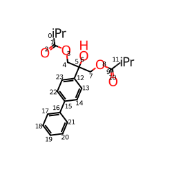 CC(C)C(=O)OCC(O)(COC(=O)C(C)C)c1ccc(-c2ccccc2)cc1